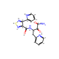 NC(=O)C(=O)C(Cc1ccccn1)NC(=O)c1nsnc1-c1ccccn1